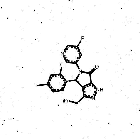 CC(C)Cc1n[nH]c2c1C(c1ccc(F)cc1Cl)N(c1cncc(F)c1)C2=O